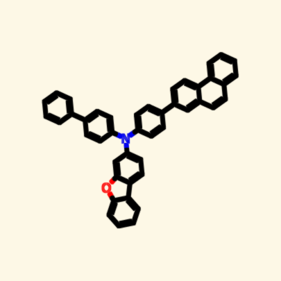 c1ccc(-c2ccc(N(c3ccc(-c4ccc5c(ccc6ccccc65)c4)cc3)c3ccc4c(c3)oc3ccccc34)cc2)cc1